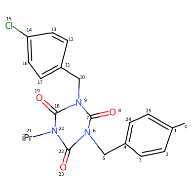 Cc1ccc(Cn2c(=O)n(Cc3ccc(Cl)cc3)c(=O)n(C(C)C)c2=O)cc1